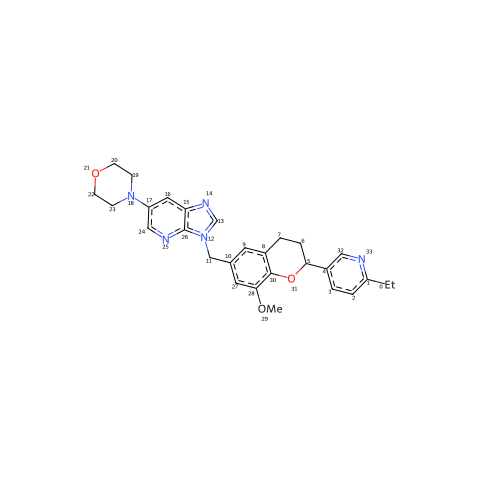 CCc1ccc(C2CCc3cc(Cn4cnc5cc(N6CCOCC6)cnc54)cc(OC)c3O2)cn1